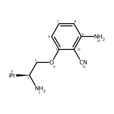 CC(C)[C@H](N)COc1cccc(N)c1C#N